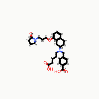 O=C(O)CCCCN(Cc1ccc(C(=O)O)cc1)C1CCc2cccc(OCCCN3CCCC3=O)c2C1